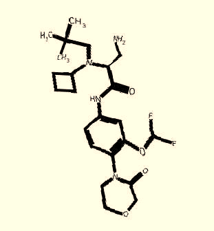 CC(C)(C)CN(C1CCC1)[C@@H](CN)C(=O)Nc1ccc(N2CCOCC2=O)c(OC(F)F)c1